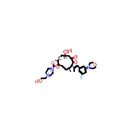 C/C(=C\c1cc(F)cc(N2CCOCC2)c1)[C@H]1C(=O)C(=O)C[C@H](O)CC[C@H](C)[C@@H](OC(=O)N2CCN(CCO)CC2)/C=C/[C@@H]1C